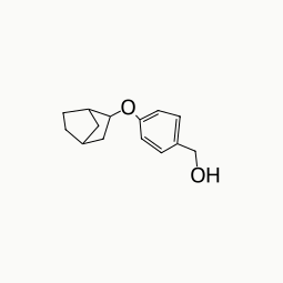 OCc1ccc(OC2CC3CCC2C3)cc1